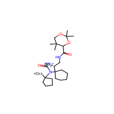 CCCCCCCCC1(N(C(N)=O)C2(C(CNC(=O)C3OC(C)(C)OCC3(C)C)C(=O)O)CCCCC2)CCCC1